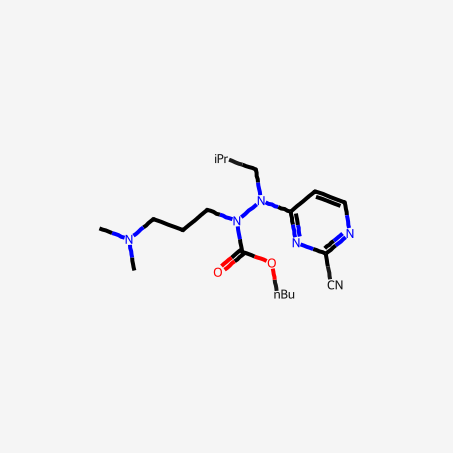 CCCCOC(=O)N(CCCN(C)C)N(CC(C)C)c1ccnc(C#N)n1